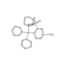 Cc1ccc([P+](c2ccccc2)(c2ccccc2)c2ccccc2)c(S(=O)(=O)[O-])c1